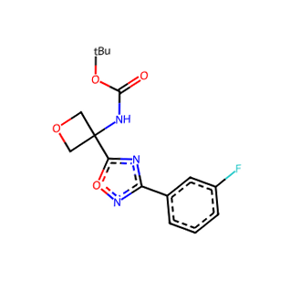 CC(C)(C)OC(=O)NC1(c2nc(-c3cccc(F)c3)no2)COC1